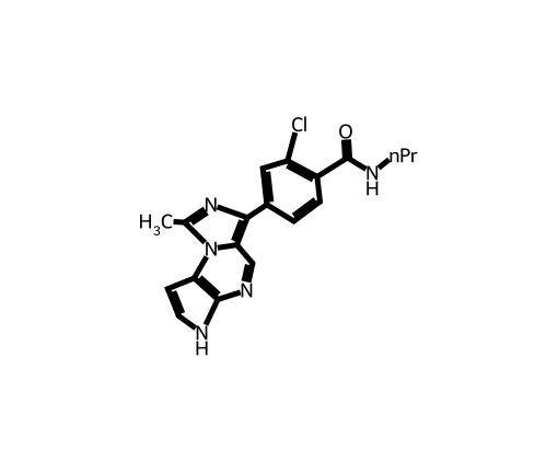 CCCNC(=O)c1ccc(-c2nc(C)n3c2cnc2[nH]ccc23)cc1Cl